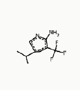 CC(C)c1cnc(N)c(C(F)(F)F)c1